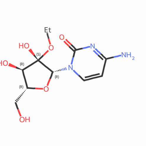 CCO[C@@]1(O)[C@H](O)[C@@H](CO)O[C@H]1n1ccc(N)nc1=O